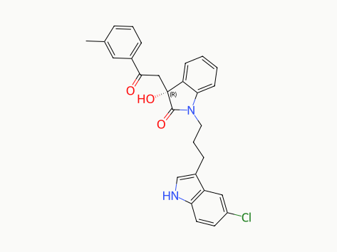 Cc1cccc(C(=O)C[C@]2(O)C(=O)N(CCCc3c[nH]c4ccc(Cl)cc34)c3ccccc32)c1